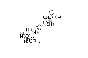 CCC(CCC(C)(C)CC(CC)c1ccc(C(C)NC2CC(C)(C)[NH+]([O-])C(C)(C)C2)cc1)c1ccccc1